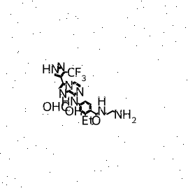 CCc1cc(Nc2nccn3c(-c4c[nH]nc4C(F)(F)F)cnc23)ccc1C(=O)NCCN.O=CO